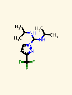 CC(C)NC(NC(C)C)n1ccc(C(F)(F)F)n1